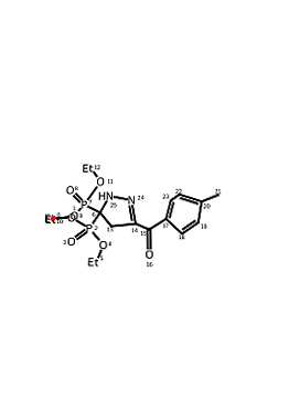 CCOP(=O)(OCC)C1(P(=O)(OCC)OCC)CC(C(=O)c2ccc(C)cc2)=NN1